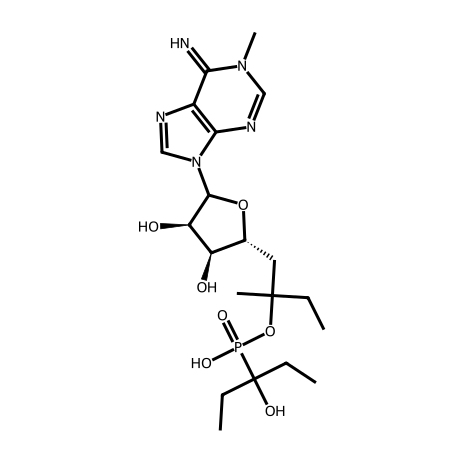 CCC(C)(C[C@H]1OC(n2cnc3c(=N)n(C)cnc32)[C@H](O)[C@@H]1O)OP(=O)(O)C(O)(CC)CC